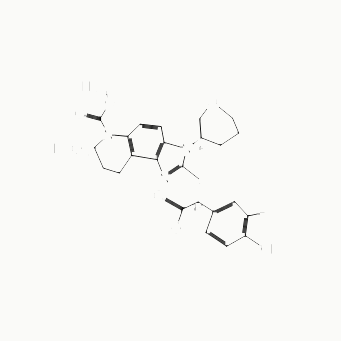 COC(=O)N1c2ccc3c(nc(C[C@@H](C(=O)O)c4ccc(C)c(F)c4)n3[C@@H]3CCCOC3)c2CC[C@@H]1C